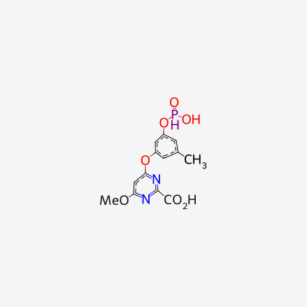 COc1cc(Oc2cc(C)cc(O[PH](=O)O)c2)nc(C(=O)O)n1